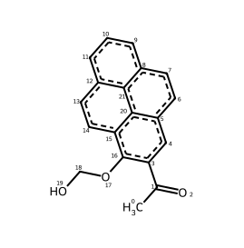 CC(=O)c1cc2ccc3cccc4ccc(c1OCO)c2c34